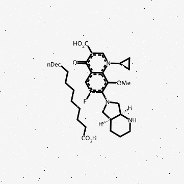 CCCCCCCCCCCCCCCCCC(=O)O.COc1c(N2C[C@@H]3CCCN[C@@H]3C2)c(F)cc2c(=O)c(C(=O)O)cn(C3CC3)c12